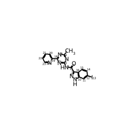 Cc1nc(NC(=O)c2n[nH]c3cc(I)ccc23)nc(-c2ccccn2)n1